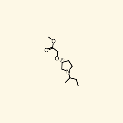 CCC(C)N1CC[C@@H](OCC(=O)OC)C1